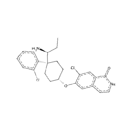 CC[C@H](N)[C@]1(c2ccccc2Cl)CC[C@@H](Oc2cc3cc[nH]c(=O)c3cc2Cl)CC1